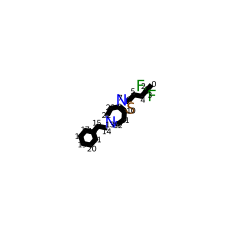 CC(F)(F)CCc1nc2c(s1)CCN(CCC1CCCCC1)CC2